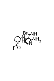 C=CC(=O)N1CCCC(Nc2ccnc(N)c2C(=N)Br)C1